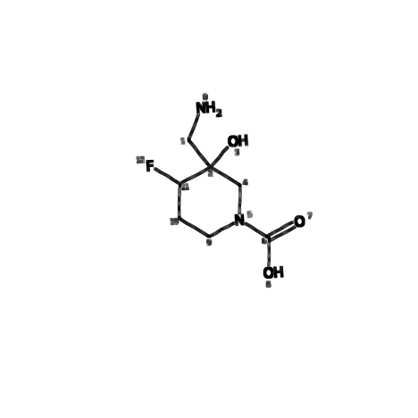 NCC1(O)CN(C(=O)O)CCC1F